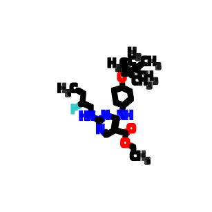 CCOC(=O)c1cnc(NCC(F)CC)nc1NC1CCC(O[Si](C)(C)C(C)(C)C)CC1